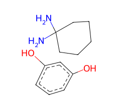 NC1(N)CCCCC1.Oc1cccc(O)c1